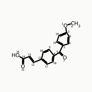 COc1ccc(C(=O)c2ccc(C=CC(=O)O)cc2)cc1